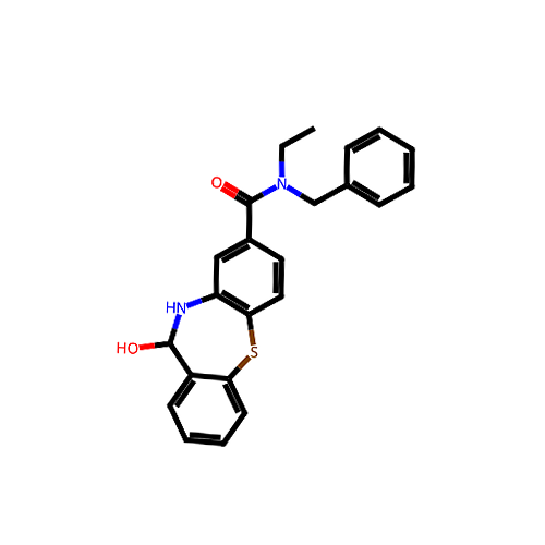 CCN(Cc1ccccc1)C(=O)c1ccc2c(c1)NC(O)c1ccccc1S2